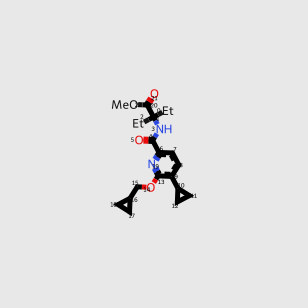 CCC(CC)(NC(=O)c1ccc(C2CC2)c(OCC2CC2)n1)C(=O)OC